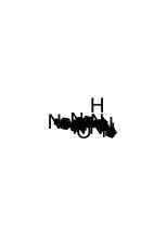 N#Cc1ccc(C2CCN(C(=O)c3cc(-c4nc5cc(N6CCCC6)ncc5[nH]4)ccc3C#N)CC2)cc1